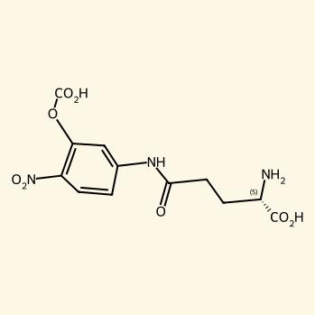 N[C@@H](CCC(=O)Nc1ccc([N+](=O)[O-])c(OC(=O)O)c1)C(=O)O